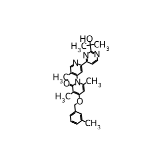 Cc1cccc(COc2cc(C)n(-c3cc(-c4ccnc(C(C)(C)O)n4)ncc3C)c(=O)c2C)c1